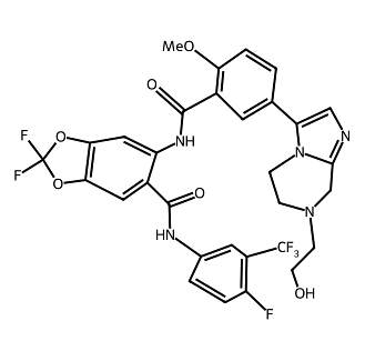 COc1ccc(-c2cnc3n2CCN(CCO)C3)cc1C(=O)Nc1cc2c(cc1C(=O)Nc1ccc(F)c(C(F)(F)F)c1)OC(F)(F)O2